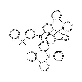 CC1(C)c2ccccc2-c2ccc(N(c3ccc4c(c3)-c3ccccc3-c3ccccc3N4c3ccccc3)c3ccc4c(c3)C3(c5ccccc5-c5ccccc5-4)c4ccccc4-c4ccccc43)cc21